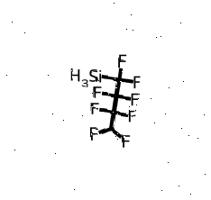 FC(F)C(F)(F)C(F)(F)C(F)(F)[SiH3]